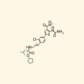 CC(C)C[C@H](NC/C=C/c1ccc(-c2cc(C(N)=O)c(NC(N)=O)s2)cc1Cl)C(=O)OC1CCCC1